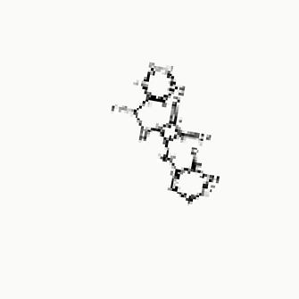 CCC(Nc1c(Nc2ccn[nH]c2=O)c(=O)c1=O)c1ccccc1